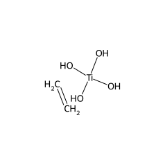 C=C.[OH][Ti]([OH])([OH])[OH]